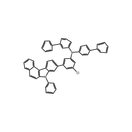 Clc1cc(-c2ccc3c4c5ccccc5ccc4n(-c4ccccc4)c3c2)cc(N(c2ccc(-c3ccccc3)cc2)c2cccc(-c3ccccc3)c2)c1